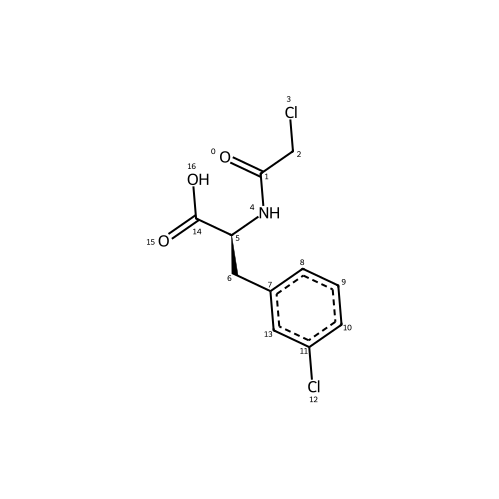 O=C(CCl)N[C@@H](Cc1cccc(Cl)c1)C(=O)O